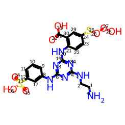 NCCNc1nc(Nc2cccc(S(=O)(=O)O)c2)nc(Nc2ccc(SOOO)cc2C(=O)O)n1